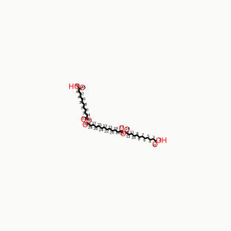 O=C(O)CCCCCCCCCCC(=O)OC(=O)CCCCCCCCCCCC(=O)OC(=O)CCCCCCCCCCC(=O)O